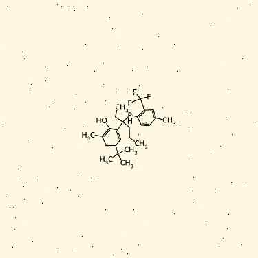 CCCC(CC)(Pc1ccc(C)cc1C(F)(F)F)c1cc(C(C)(C)C)cc(C)c1O